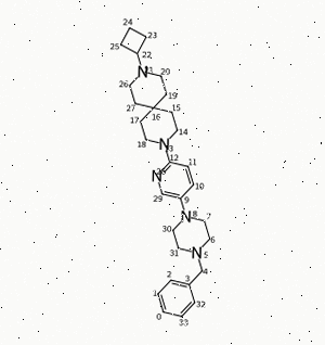 c1ccc(CN2CCN(c3ccc(N4CCC5(CC4)CCN(C4CCC4)CC5)nc3)CC2)cc1